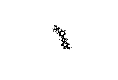 FC(F)(F)Oc1cccc(-c2cc3ccc(Br)cn3c2)c1